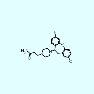 NC(=O)CCN1CCN(C2Cc3cc(Cl)ccc3Sc3cc(F)ccc32)CC1